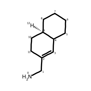 NCC1=CC2CCCC[C@@H]2CC1